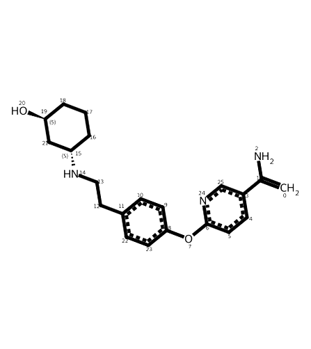 C=C(N)c1ccc(Oc2ccc(CCN[C@H]3CCC[C@H](O)C3)cc2)nc1